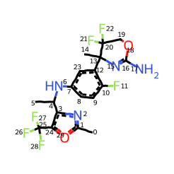 Cc1nc(C(C)Nc2ccc(F)c(C3(C)N=C(N)OCC3(F)F)c2)c(C(F)(F)F)o1